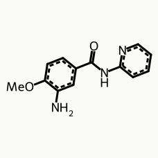 COc1ccc(C(=O)Nc2ccccn2)cc1N